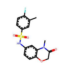 Cc1cc(S(=O)(=O)Nc2ccc3c(c2)N(C)C(=O)CO3)ccc1F